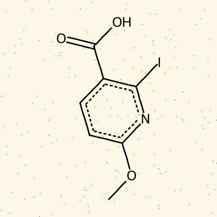 COc1ccc(C(=O)O)c(I)n1